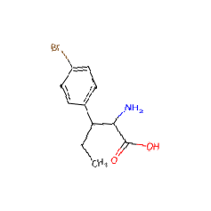 CCC(c1ccc(Br)cc1)C(N)C(=O)O